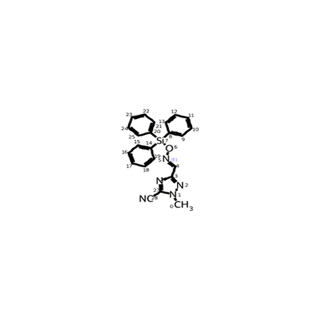 Cn1nc(/C=N/O[Si](c2ccccc2)(c2ccccc2)c2ccccc2)nc1C#N